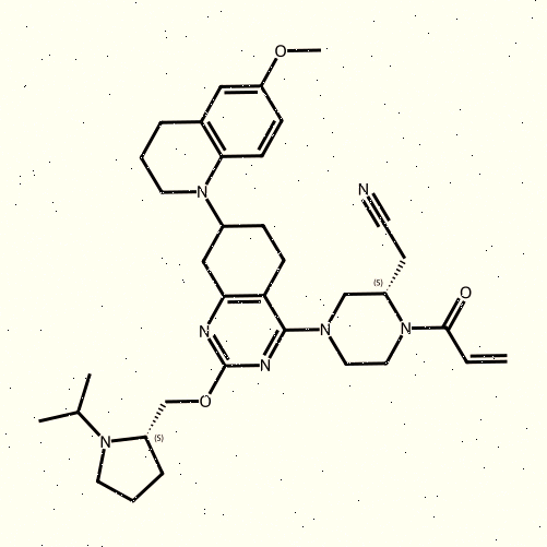 C=CC(=O)N1CCN(c2nc(OC[C@@H]3CCCN3C(C)C)nc3c2CCC(N2CCCc4cc(OC)ccc42)C3)C[C@@H]1CC#N